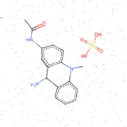 CC(=O)Nc1ccc2c(c1)C(N)c1ccccc1N2C.O=S(=O)(O)O